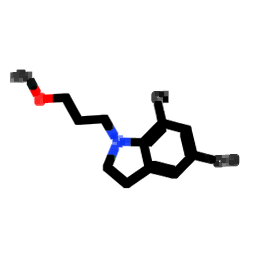 CCCCOCCCN1CCc2cc(C=O)cc(C#N)c21